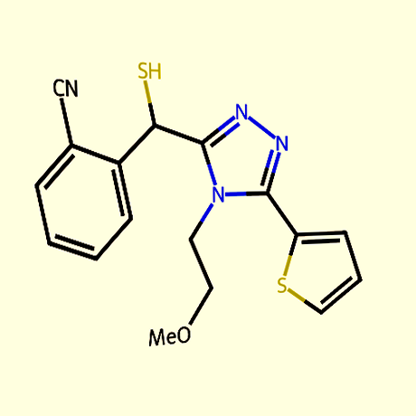 COCCn1c(-c2cccs2)nnc1C(S)c1ccccc1C#N